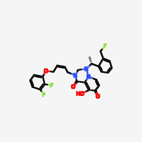 C[C@H](c1ccccc1CF)N1CN(C/C=C\COc2cccc(F)c2F)C(=O)c2c(O)c(=O)ccn21